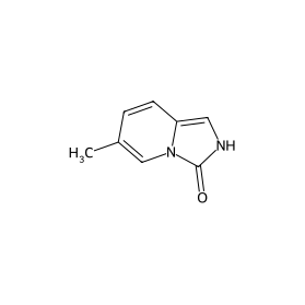 Cc1ccc2c[nH]c(=O)n2c1